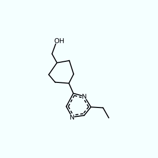 CCc1cncc(C2CCC(CO)CC2)n1